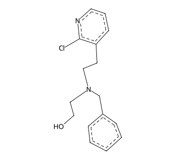 OCCN(CCc1cccnc1Cl)Cc1ccccc1